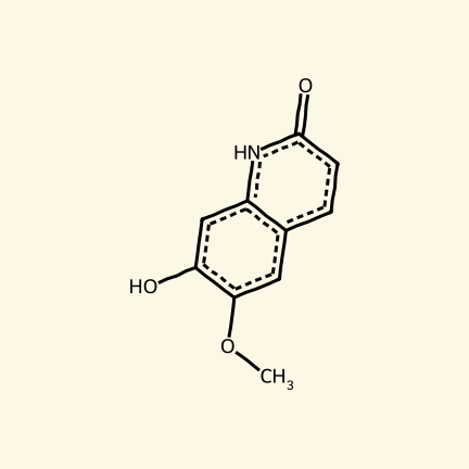 COc1cc2ccc(=O)[nH]c2cc1O